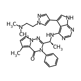 Cc1ccn2nc([C@H](C)Nc3ncnc4[nH]cc(-c5cnn(CCN(C)C)c5)c34)n(-c3ccccc3)c(=O)c12